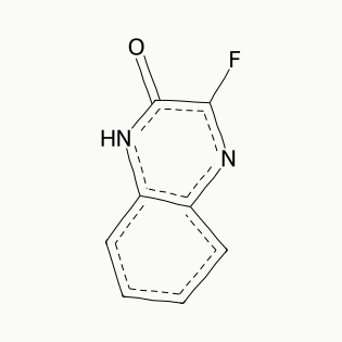 O=c1[nH]c2ccccc2nc1F